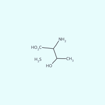 CC(O)C(N)C(=O)O.S